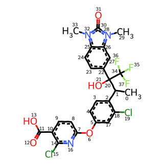 CC(c1ccc(Oc2ccc(C(=O)O)c(Cl)n2)cc1Cl)C(O)(c1ccc2c(c1)n(C)c(=O)n2C)C(F)(F)F